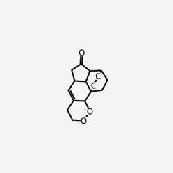 O=C1CC2C=C3CCOOC3C34CCC(CC3)C1C24